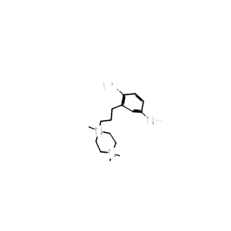 C[N+]1(C)CC[N+](C)(CCCc2cc(N)ccc2N)CC1